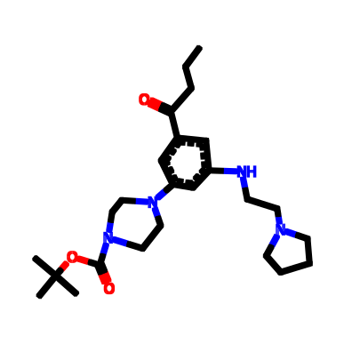 CCCC(=O)c1cc(NCCN2CCCC2)cc(N2CCN(C(=O)OC(C)(C)C)CC2)c1